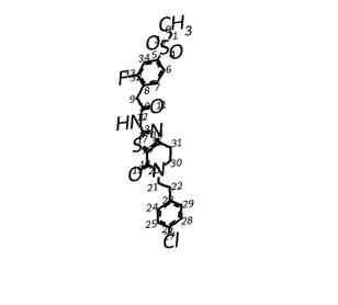 CCS(=O)(=O)c1ccc(CC(=O)Nc2nc3c(s2)C(=O)N(CCc2ccc(Cl)cc2)CC3)c(F)c1